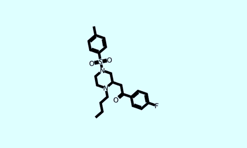 CCCCN1CCN(S(=O)(=O)c2ccc(C)cc2)CC1CC(=O)c1ccc(F)cc1